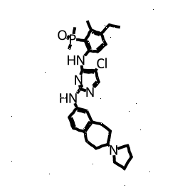 CCc1ccc(Nc2nc(Nc3ccc4c(c3)CC[C@@H](N3CCCC3)CC4)ncc2Cl)c(P(C)(C)=O)c1C